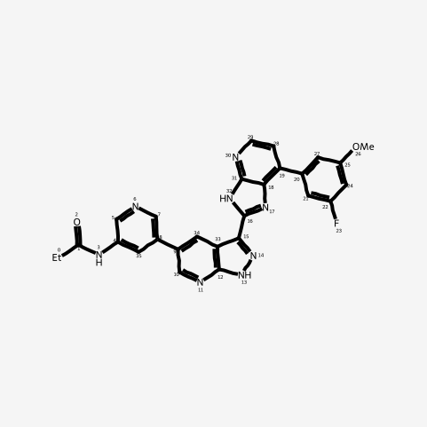 CCC(=O)Nc1cncc(-c2cnc3[nH]nc(-c4nc5c(-c6cc(F)cc(OC)c6)ccnc5[nH]4)c3c2)c1